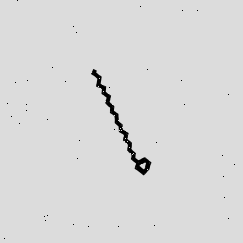 CCCCCCCCCCCCCCCCCCCCc1ccccc1